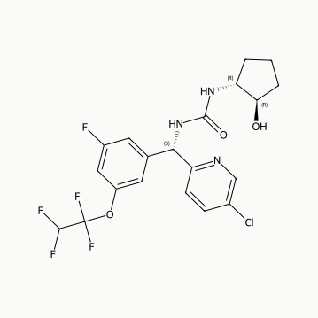 O=C(N[C@@H](c1cc(F)cc(OC(F)(F)C(F)F)c1)c1ccc(Cl)cn1)N[C@@H]1CCC[C@H]1O